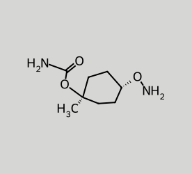 C[C@]1(OC(N)=O)CC[C@H](ON)CC1